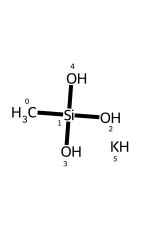 C[Si](O)(O)O.[KH]